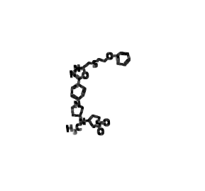 CN(C1CCN(c2ccc(-c3nnc(CSCCOc4ccccc4)o3)cc2)C1)C1CCS(=O)(=O)C1